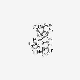 Cc1cc(Nc2ccc(F)c(CC3CCN(C4(c5ccccc5C(F)(F)F)CC4)CC3)n2)n[nH]1